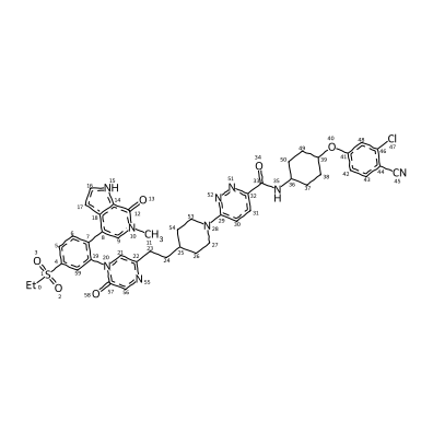 CCS(=O)(=O)c1ccc(-c2cn(C)c(=O)c3[nH]ccc23)c(-n2cc(CCC3CCN(c4ccc(C(=O)NC5CCC(Oc6ccc(C#N)c(Cl)c6)CC5)nn4)CC3)ncc2=O)c1